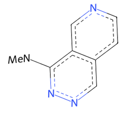 CNc1nncc2ccncc12